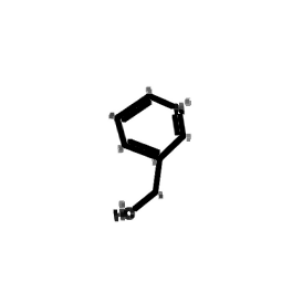 OCc1cc[c]nc1